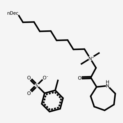 CCCCCCCCCCCCCCCCCC[N+](C)(C)CC(=O)C1CCCCCN1.Cc1ccccc1S(=O)(=O)[O-]